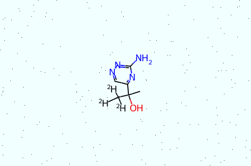 [2H]C([2H])([2H])C(C)(O)c1cnnc(N)n1